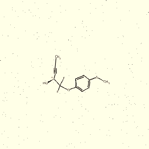 CC#C[C@H](O)C(F)(F)Oc1ccc(SC)cc1